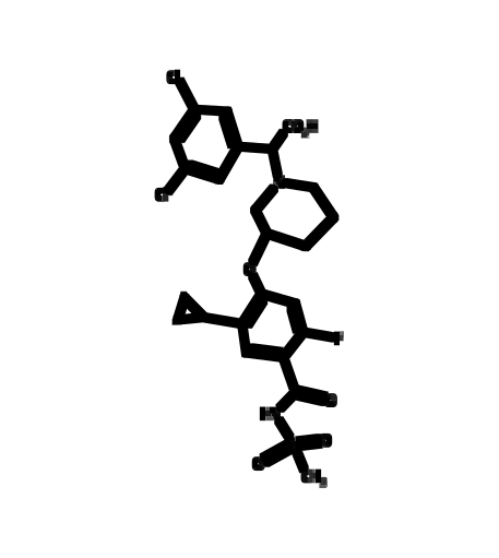 CS(=O)(=O)NC(=O)c1cc(C2CC2)c(OC2CCCN(C(C(=O)O)c3cc(Cl)cc(Cl)c3)C2)cc1F